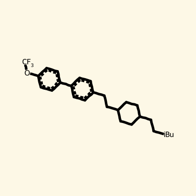 CCC(C)CCC1CCC(CCc2ccc(-c3ccc(OC(F)(F)F)cc3)cc2)CC1